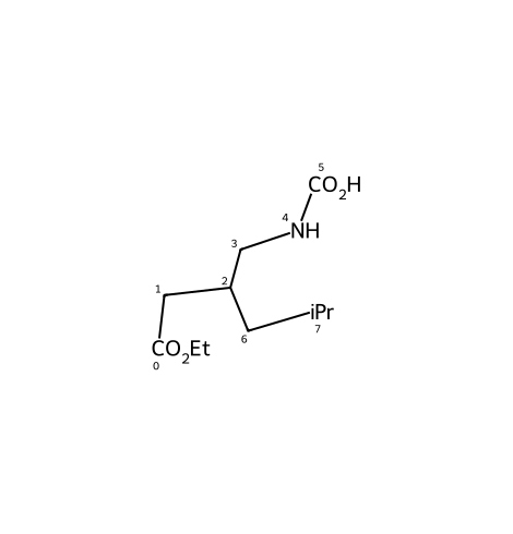 CCOC(=O)CC(CNC(=O)O)CC(C)C